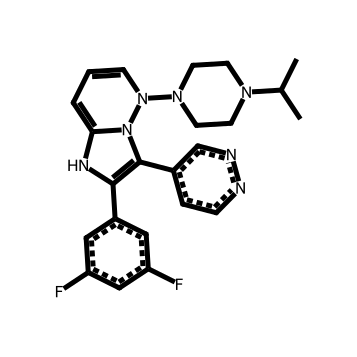 CC(C)N1CCN(N2C=CC=C3NC(c4cc(F)cc(F)c4)=C(c4ccnnc4)N32)CC1